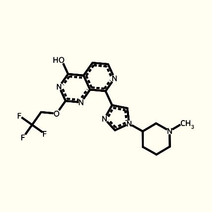 CN1CCCC(n2cnc(-c3nccc4c(O)nc(OCC(F)(F)F)nc34)c2)C1